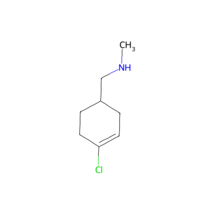 CNCC1CC=C(Cl)CC1